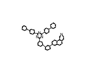 c1ccc(-c2ccc(-c3nc(-c4ccc(-c5ccccc5)cc4)nc(-c4cccc(-c5cccc(-c6ccc7c(ccc8ccncc87)c6)c5)c4)n3)cc2)cc1